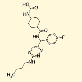 CCCCNc1ncc(C(NC(=O)C2CCC(NC(=O)O)CC2)c2ccc(F)cc2)nn1